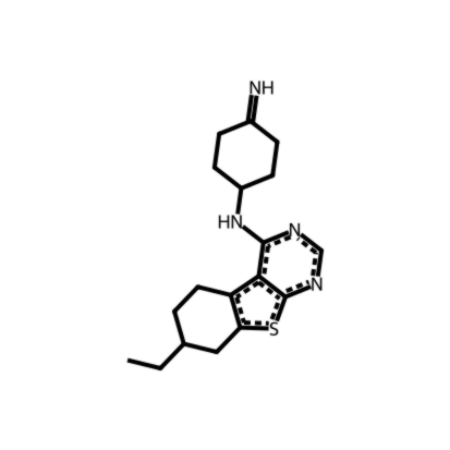 CCC1CCc2c(sc3ncnc(NC4CCC(=N)CC4)c23)C1